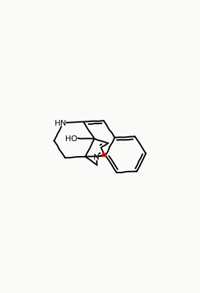 OC12C=CC=NCC13CCNC2=Cc1ccccc13